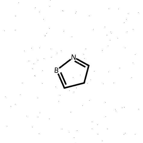 B1=CCC=N1